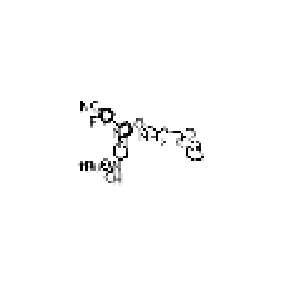 CC(C)(C)OC(=O)NC1CCN(c2cc(OC(N)CCCCCC(=O)OC3CCCCO3)cc(-c3ccc(C#N)c(F)c3)n2)CC1